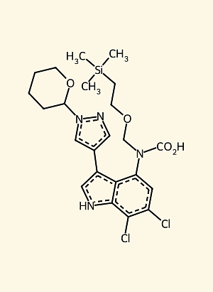 C[Si](C)(C)CCOCN(C(=O)O)c1cc(Cl)c(Cl)c2[nH]cc(-c3cnn(C4CCCCO4)c3)c12